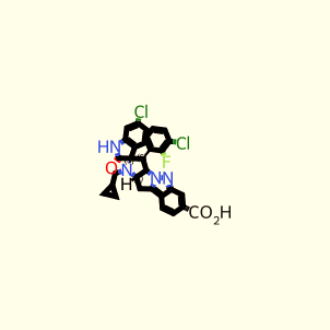 O=C(O)c1ccc2c3n(nc2c1)C1[C@H](C3)N(CC2CC2)[C@@]2(C(=O)Nc3cc(Cl)ccc32)[C@H]1c1cccc(Cl)c1F